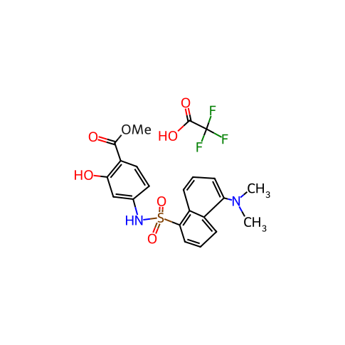 COC(=O)c1ccc(NS(=O)(=O)c2cccc3c(N(C)C)cccc23)cc1O.O=C(O)C(F)(F)F